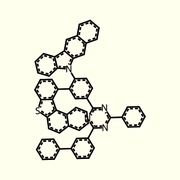 c1ccc(-c2cccc(-c3nc(-c4ccccc4)nc(-c4ccc(-n5c6ccccc6c6cc7ccccc7cc65)c(-c5cccc6sc7ccc8ccccc8c7c56)c4)n3)c2)cc1